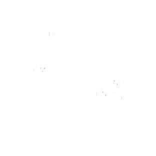 COc1ccc(C=O)cc1-c1ccc(COc2cccc(C(NC(=O)N=O)c3ccccc3)c2)cc1